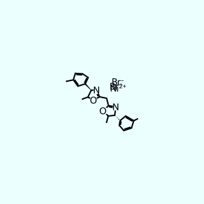 Cc1cccc([C@H]2N=C(CC3=N[C@H](c4cccc(C)c4)C(C)O3)OC2C)c1.[Br-].[Br-].[Ni+2]